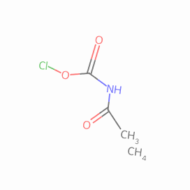 C.CC(=O)NC(=O)OCl